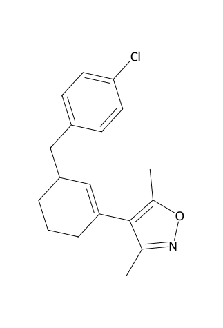 Cc1noc(C)c1C1=CC(Cc2ccc(Cl)cc2)CCC1